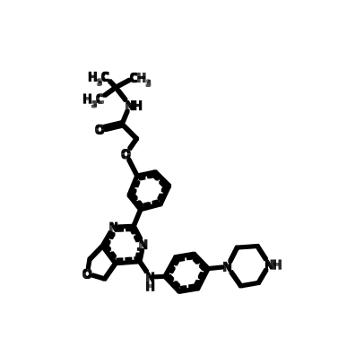 CC(C)(C)NC(=O)COc1cccc(-c2nc3c(c(Nc4ccc(N5CCNCC5)cc4)n2)COC3)c1